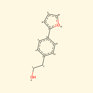 OCCc1ccc(-c2ccco2)cc1